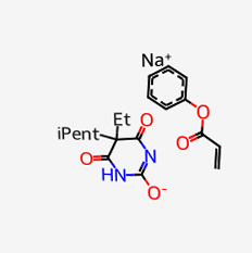 C=CC(=O)Oc1ccccc1.CCCC(C)C1(CC)C(=O)N=C([O-])NC1=O.[Na+]